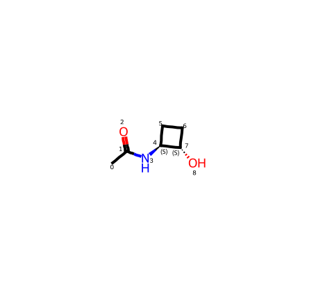 CC(=O)N[C@H]1CC[C@@H]1O